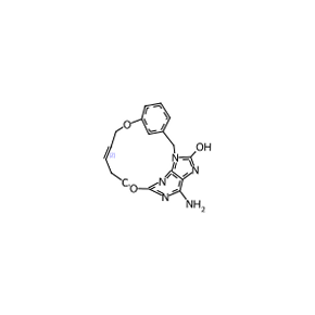 Nc1nc2nc3c1nc(O)n3Cc1cccc(c1)OC/C=C\CCO2